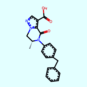 C[C@@H]1Cn2ncc(C(=O)O)c2C(=O)N1c1ccc(Cc2ccccc2)cc1